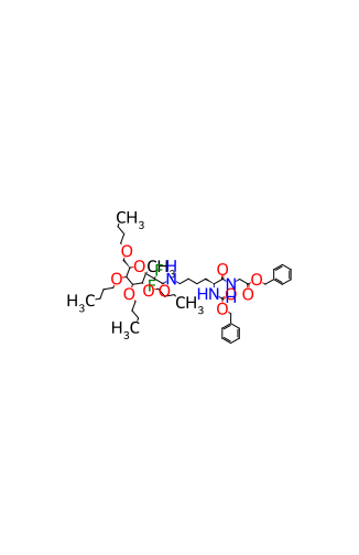 CCCCOC[C@H]1O[C@@](C)(C(F)(F)C(=O)NCCCC[C@H](NC(=O)OCc2ccccc2)C(=O)NCC(=O)OCc2ccccc2)[C@H](OCCCC)[C@@H](OCCCC)[C@H]1OCCCC